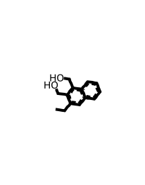 CCc1cc2ccccc2c(CO)c1CO